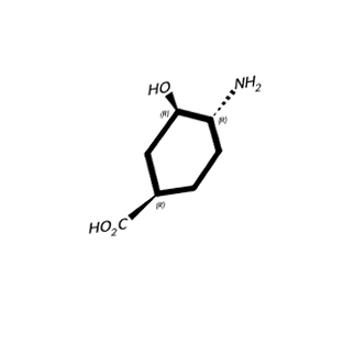 N[C@@H]1CC[C@@H](C(=O)O)C[C@H]1O